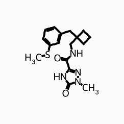 CSc1cccc(CC2(CNC(=O)c3nn(C)c(=O)[nH]3)CCC2)c1